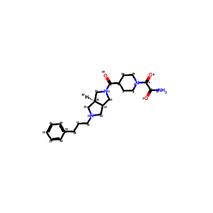 NC(=O)C(=O)N1CCC(C(=O)N2CC3CN(CC[CH]c4ccccc4)C[C@H]3C2)CC1